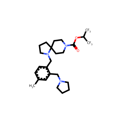 Cc1ccc(CN2CCCC23CCN(C(=O)OC(C(F)(F)F)C(F)(F)F)CC3)c(CN2CCCC2)c1